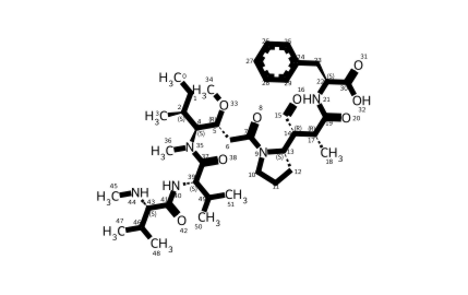 CC[C@H](C)[C@@H]([C@@H](CC(=O)N1CCC[C@H]1[C@H](C=O)[C@@H](C)C(=O)N[C@@H](Cc1ccccc1)C(=O)O)OC)N(C)C(=O)[C@@H](NC(=O)[C@@H](NC)C(C)C)C(C)C